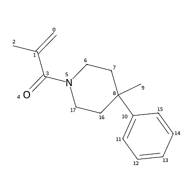 C=C(C)C(=O)N1CCC(C)(c2ccccc2)CC1